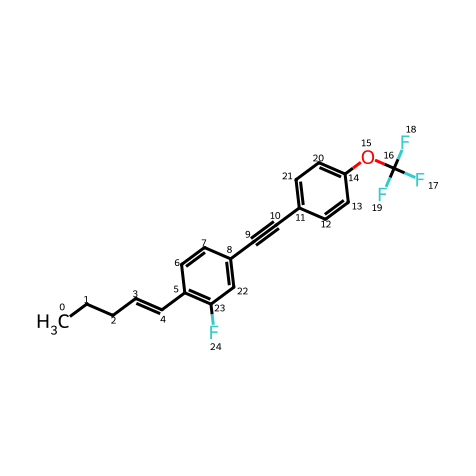 CCCC=Cc1ccc(C#Cc2ccc(OC(F)(F)F)cc2)cc1F